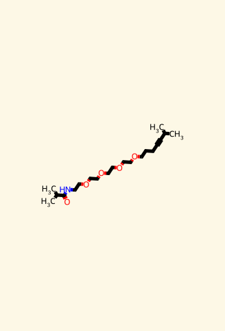 CC(C)C#CCCCOCCOCCOCCOCCNC(=O)C(C)C